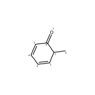 CC1C=CC=CC1=O